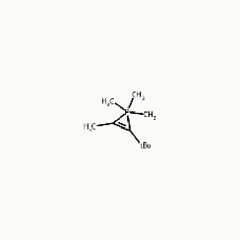 CC1=C(C(C)(C)C)P1(C)(C)C